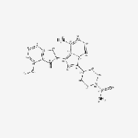 COc1cccc2c1NC(c1nc(C3CCN(C(N)=O)CC3)n3ncnc(N)c13)C2